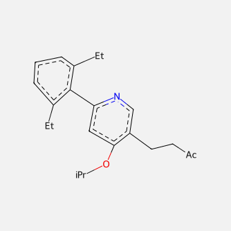 CCc1cccc(CC)c1-c1cc(OC(C)C)c(CCC(C)=O)cn1